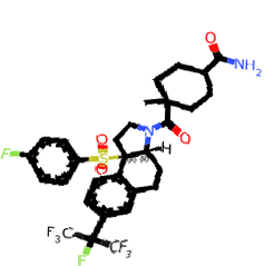 CC1(C(=O)N2CC[C@@]3(S(=O)(=O)c4ccc(F)cc4)c4ccc(C(F)(C(F)(F)F)C(F)(F)F)cc4CC[C@@H]23)CCC(C(N)=O)CC1